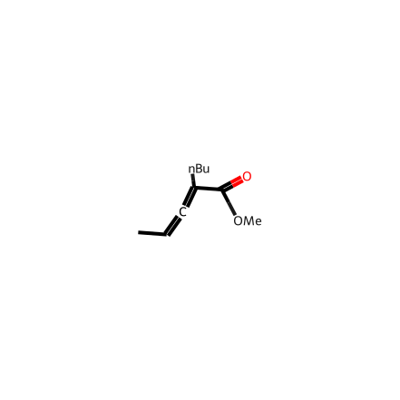 CC=C=C(CCCC)C(=O)OC